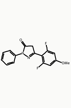 COc1cc(F)c(C2=NN(c3ccccc3)C(=O)C2)c(F)c1